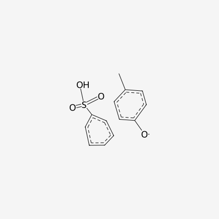 Cc1ccc([O])cc1.O=S(=O)(O)c1ccccc1